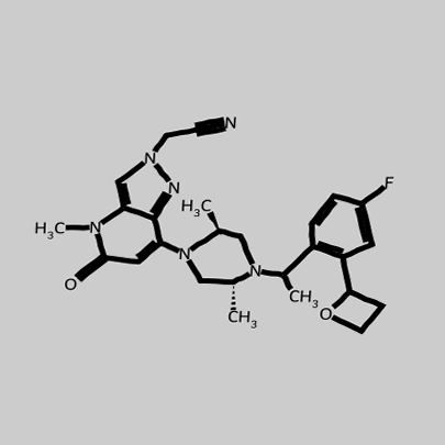 CC(c1ccc(F)cc1C1CCO1)N1C[C@H](C)N(c2cc(=O)n(C)c3cn(CC#N)nc23)C[C@H]1C